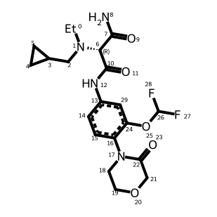 CCN(CC1CC1)[C@H](C(N)=O)C(=O)Nc1ccc(N2CCOCC2=O)c(OC(F)F)c1